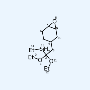 CCOC(CC1CCC2OC2C1)(OCC)[SiH2]CC